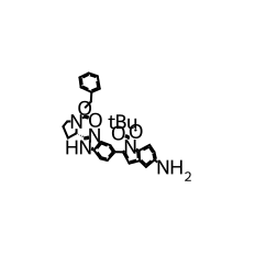 CC(C)(C)OC(=O)n1c(-c2ccc3[nH]c([C@@H]4CCCN4C(=O)OCc4ccccc4)nc3c2)cc2cc(N)ccc21